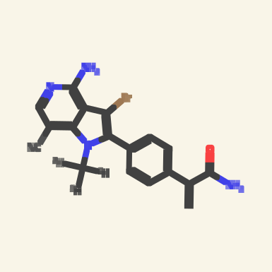 [2H]C([2H])([2H])n1c(-c2ccc(C(=C)C(N)=O)cc2)c(Br)c2c(N)ncc(C#N)c21